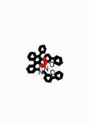 c1ccc(-c2c3ccccc3c(-c3ccccc3-c3nc(-c4cccc5c4oc4ccccc45)nc(-c4cccc5c4oc4ccccc45)n3)c3ccccc23)cc1